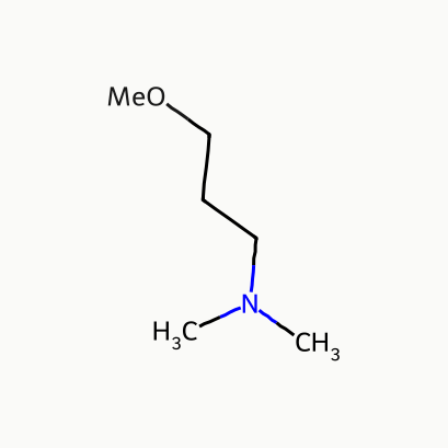 [CH2]OCCCN(C)C